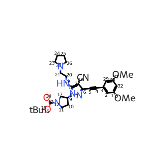 COc1cc(C#Cc2nn(C3CCN(C(=O)OC(C)(C)C)C3)c(NCCN3CCCC3)c2C#N)cc(OC)c1